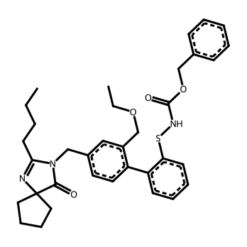 CCCCC1=NC2(CCCC2)C(=O)N1Cc1ccc(-c2ccccc2SNC(=O)OCc2ccccc2)c(COCC)c1